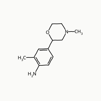 Cc1cc(C2CN(C)CCO2)ccc1N